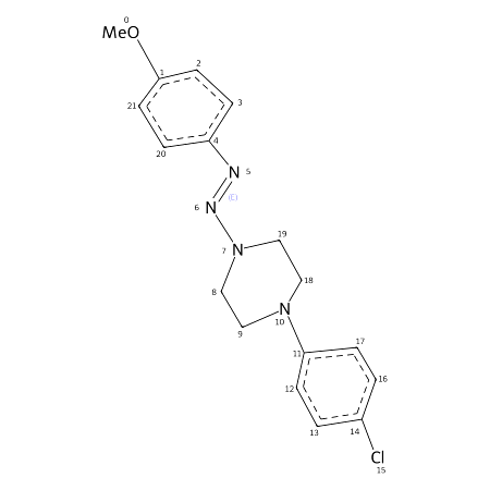 COc1ccc(/N=N/N2CCN(c3ccc(Cl)cc3)CC2)cc1